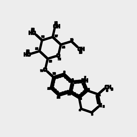 CC1=NCCc2c1[nH]c1cc(OC3OC(CO)C(O)C(O)C3O)ccc21